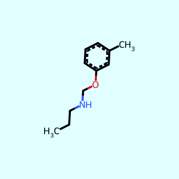 CCCNCOc1cccc(C)c1